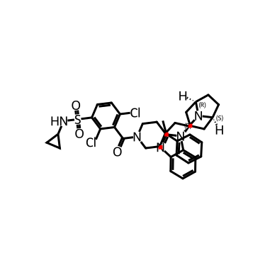 Cc1nc2ccccc2n1[C@H]1C[C@H]2CC[C@@H](C1)N2CCC1(c2ccccc2)CCN(C(=O)c2c(Cl)ccc(S(=O)(=O)NC3CC3)c2Cl)CC1